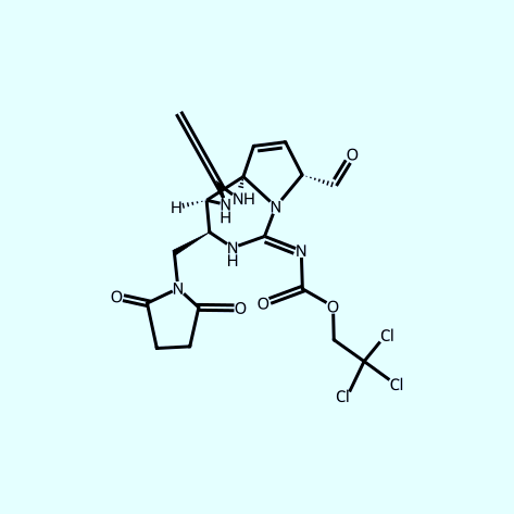 C=C1N[C@H]2[C@H](CN3C(=O)CCC3=O)N/C(=N\C(=O)OCC(Cl)(Cl)Cl)N3[C@@H](C=O)C=C[C@]23N1